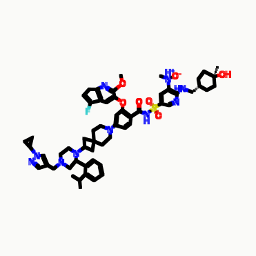 COc1nc2c(cc1Oc1cc(N3CCC4(CC3)CC(N3CCN(Cc5cnn(C6CC6)c5)CC3c3ccccc3C(C)C)C4)ccc1C(=O)NS(=O)(=O)c1cnc(NC[C@H]3CC[C@](C)(O)CC3)c([NH+](C)[O-])c1)C(F)=CC2